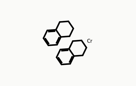 [Cr].c1ccc2c(c1)CCCC2.c1ccc2c(c1)CCCC2